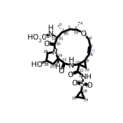 C[C@@H]1C[C@H](C)OC/C=C\C2CC2(C(=O)NS(=O)(=O)C2CC2)NC(=O)[C@@H]2C[C@@H](O)CN2C(=O)[C@H]1NC(=O)O